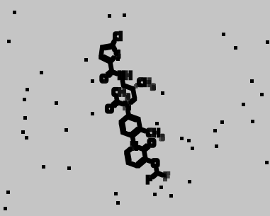 CC(=O)N(C[C@@H](C)CNC(=O)c1ccc(Cl)s1)c1ccc(-n2cccc(OC(F)F)c2=O)c(C)c1